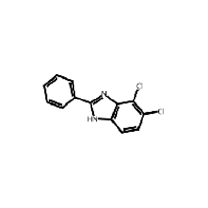 Clc1ccc2[nH]c(-c3ccccc3)nc2c1Cl